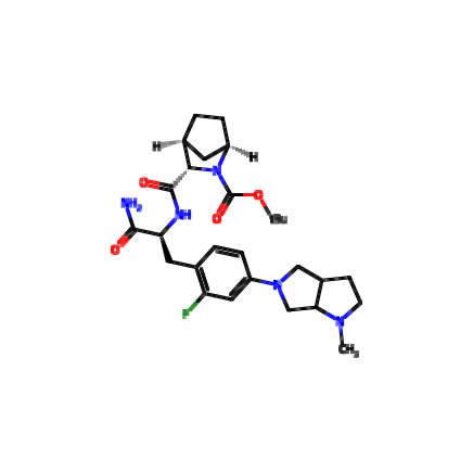 CN1CCC2CN(c3ccc(C[C@H](NC(=O)[C@@H]4[C@H]5CC[C@H](C5)N4C(=O)OC(C)(C)C)C(N)=O)c(F)c3)CC21